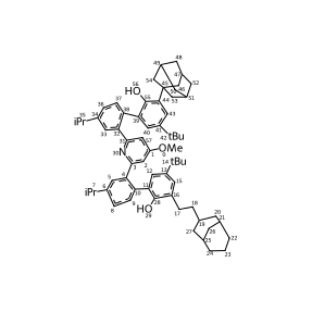 COc1cc(-c2cc(C(C)C)ccc2-c2cc(C(C)(C)C)cc(CCC3CC4CCCC(C4)C3)c2O)nc(-c2cc(C(C)C)ccc2-c2cc(C(C)(C)C)cc(C34CC5CC(CC(C5)C3)C4)c2O)c1